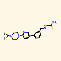 CCC(CC)N1CCN(c2ccc(-c3cccc(C=NNC(N)=S)c3)cn2)CC1